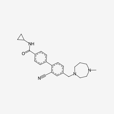 CN1CCCN(Cc2ccc(-c3ccc(C(=O)NC4CC4)cc3)c(C#N)c2)CC1